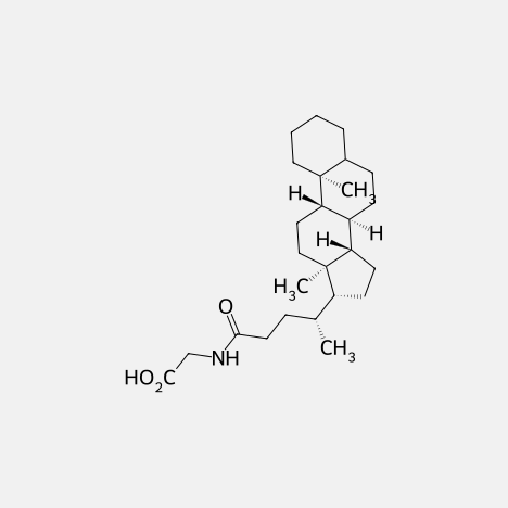 C[C@H](CCC(=O)NCC(=O)O)[C@H]1CC[C@H]2[C@@H]3CCC4CCCC[C@]4(C)[C@H]3CC[C@]12C